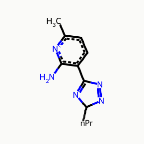 CCCC1N=NC(c2ccc(C)nc2N)=N1